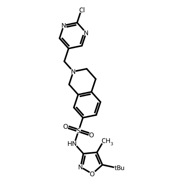 Cc1c(NS(=O)(=O)c2ccc3c(c2)CN(Cc2cnc(Cl)nc2)CC3)noc1C(C)(C)C